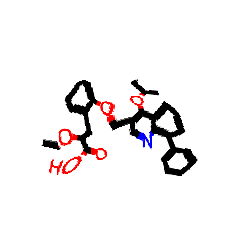 CCOC(Cc1ccccc1OCc1cnc2c(-c3ccccc3)cccc2c1OC(C)C)C(=O)O